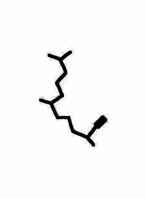 C#CC(C)CCCC(C)CCCC(C)C